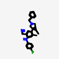 Cc1cc(Nc2ccc(F)cc2)c(C=N)cc1C12CN(Cc3ccccc3)CC1C2C